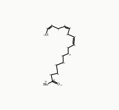 CC/C=C\C/C=C\C/C=C\CCCCCCCC(=O)C(C)(C)C